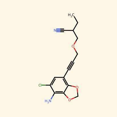 CCC(C#N)COCC#Cc1cc(Cl)c(N)c2c1OCO2